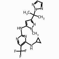 Cn1nc(C(C)(C)n2nccn2)cc1Nc1ncc(C(F)(F)F)c(NC2CC2)n1